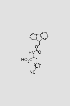 N#Cc1ccc(CC(NC(=O)OCC2c3ccccc3-c3ccccc32)C(=O)O)s1